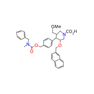 COCC1CN(C(=O)O)CC(OCc2ccc3ccccc3c2)C1c1ccc(COC(=O)N(C)Cc2ccccc2)cc1